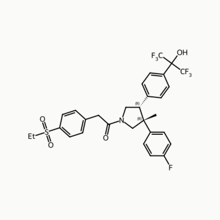 CCS(=O)(=O)c1ccc(CC(=O)N2C[C@H](c3ccc(C(O)(C(F)(F)F)C(F)(F)F)cc3)[C@](C)(c3ccc(F)cc3)C2)cc1